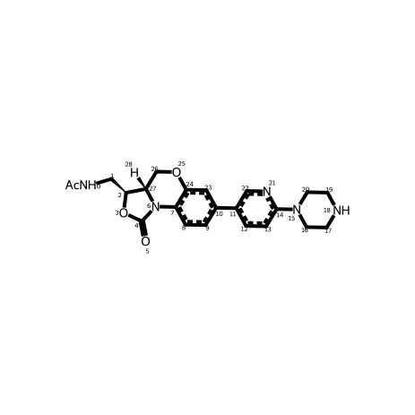 CC(=O)NC[C@@H]1OC(=O)N2c3ccc(-c4ccc(N5CCNCC5)nc4)cc3OC[C@@H]12